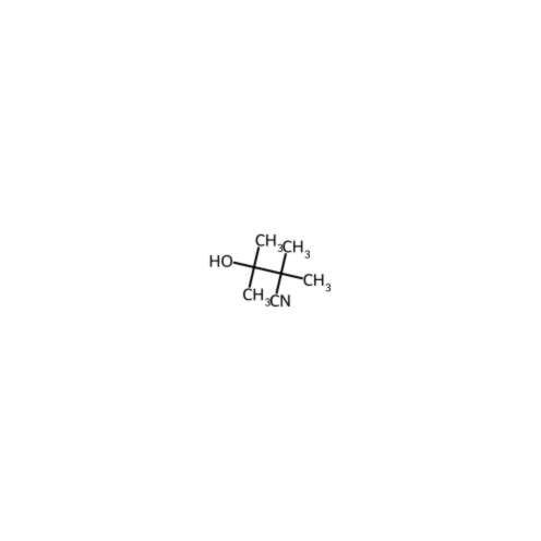 CC(C)(O)C(C)(C)C#N